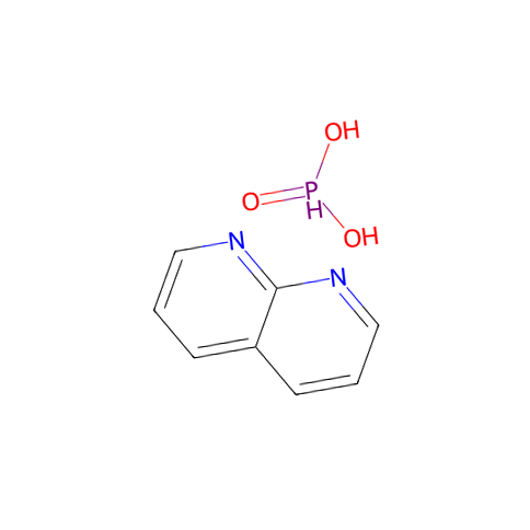 O=[PH](O)O.c1cnc2ncccc2c1